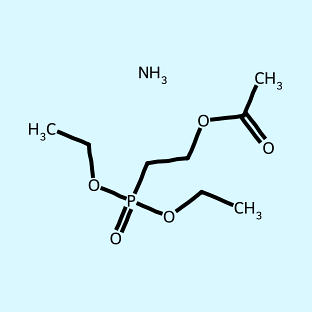 CCOP(=O)(CCOC(C)=O)OCC.N